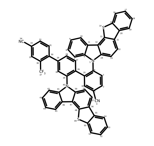 N#Cc1ccc(-n2c3ccccc3c3c4sc5ccccc5c4ccc32)c(-c2ccc(-c3ccc(C#N)cc3C(F)(F)F)cc2-n2c3ccccc3c3c4sc5ccccc5c4ccc32)c1